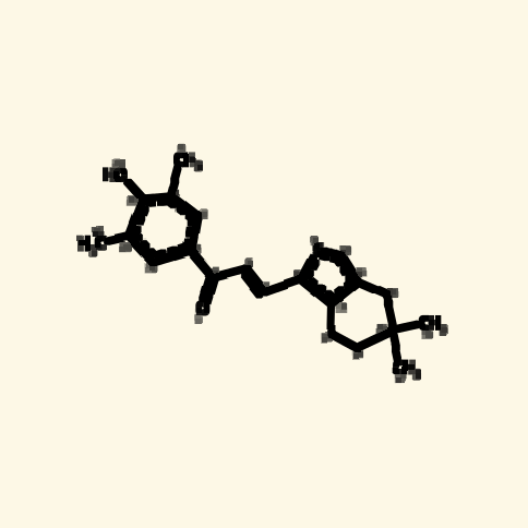 Cc1cc(C(=O)C=Cc2scc3c2CCC(C)(C)C3)cc(C)c1O